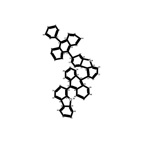 c1ccc(-c2c3ccccc3c(-c3ccc4c(c3)sc3cccc(-c5c6ccccc6c(-c6cccc7c6oc6ccccc67)c6ccccc56)c34)c3ccccc23)cc1